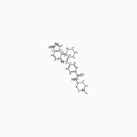 CN1CCC(NC(=O)c2ccc(-c3nc4ccc5[nH]ncc5c4c4c3CCCC4)cc2)CC1